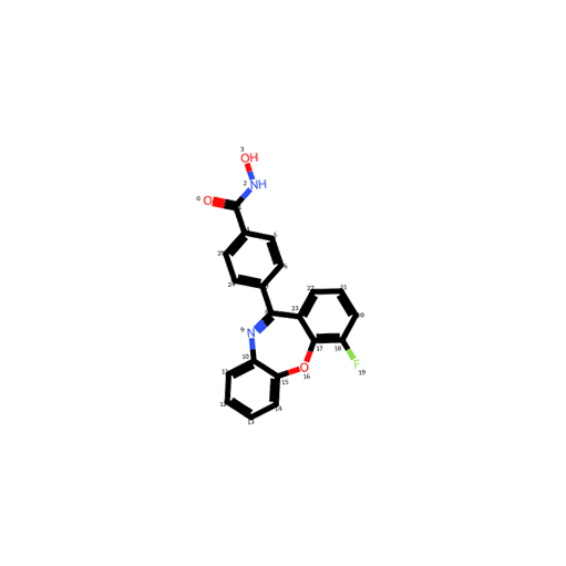 O=C(NO)c1ccc(C2=Nc3ccccc3Oc3c(F)cccc32)cc1